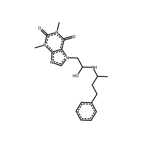 CC(CCc1ccccc1)NC(O)Cn1cnc2c1c(=O)n(C)c(=O)n2C